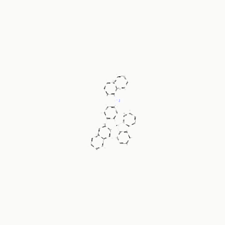 c1ccc(C2(c3ccccc3)c3cc(Nc4cccc5ccccc45)ccc3-c3cc4ccccc4cc32)cc1